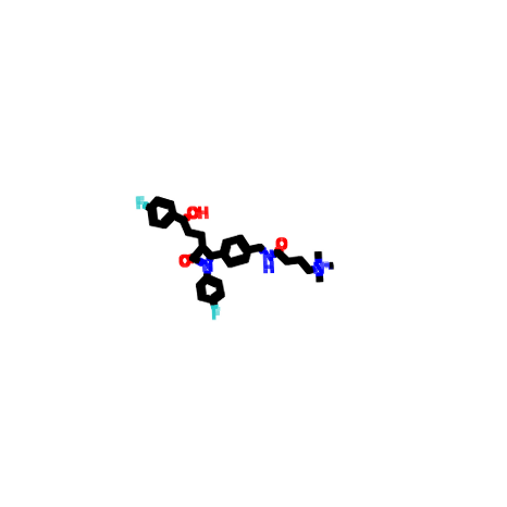 C[N+](C)(C)CCCC(=O)NCc1ccc(C2C(CCC(O)c3ccc(F)cc3)C(=O)N2c2ccc(F)cc2)cc1